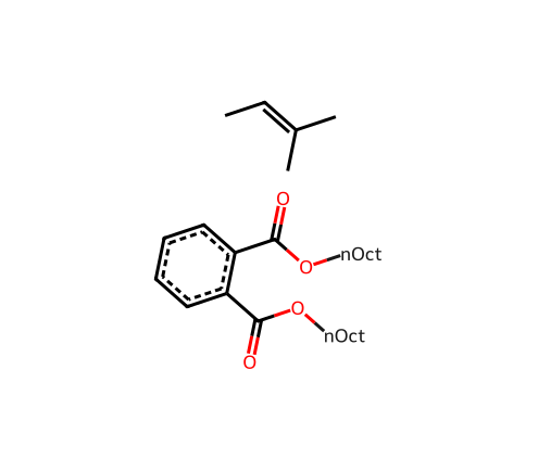 CC=C(C)C.CCCCCCCCOC(=O)c1ccccc1C(=O)OCCCCCCCC